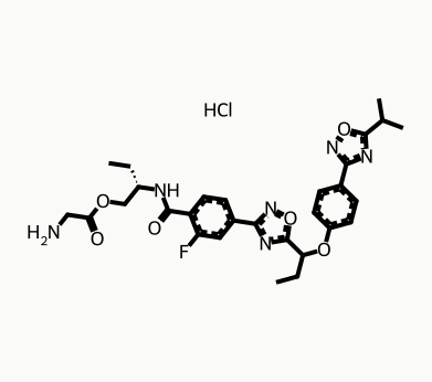 CCC(Oc1ccc(-c2noc(C(C)C)n2)cc1)c1nc(-c2ccc(C(=O)N[C@@H](CC)COC(=O)CN)c(F)c2)no1.Cl